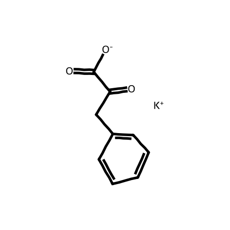 O=C([O-])C(=O)Cc1ccccc1.[K+]